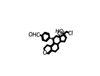 C[C@]12C[C@H](c3ccc(C=O)cc3)C3=C4CCOC=C4CCC3C1CC[C@@]2(O)CCl